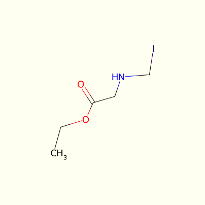 CCOC(=O)CNCI